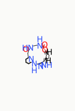 O=C1Cc2cccc(n2)Nc2cc([nH]n2)[C@H]2CC[C@H](C2)OC(=O)NCCN1